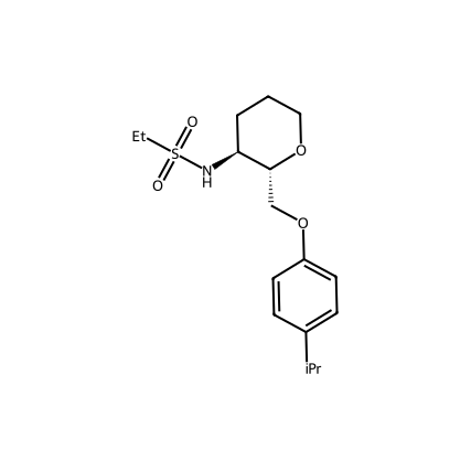 CCS(=O)(=O)N[C@H]1CCCO[C@@H]1COc1ccc(C(C)C)cc1